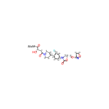 CNC(=O)[C@@H](O)CC(=O)N1CC=C(c2ccc(N3C[C@H](COc4ccon4)OC3=O)cc2F)CC1